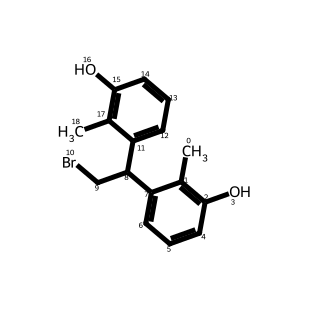 Cc1c(O)cccc1C(CBr)c1cccc(O)c1C